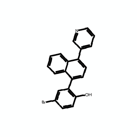 Oc1ccc(Br)cc1-c1ccc(-c2cccnc2)c2ccccc12